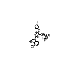 Cc1nc(-c2c[nH]c3c(Cl)cccc23)cnc1OC1CCNC1.O=C(O)C(F)(F)F